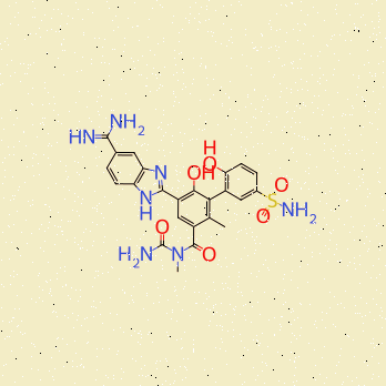 Cc1c(C(=O)N(C)C(N)=O)cc(-c2nc3cc(C(=N)N)ccc3[nH]2)c(O)c1-c1cc(S(N)(=O)=O)ccc1O